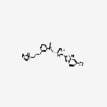 Clc1ccc2cc(-c3nc(CNc4cccc(CCCn5ccnn5)c4)co3)[nH]c2c1